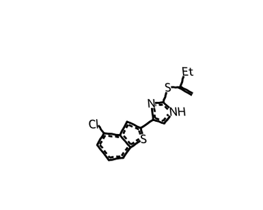 C=C(CC)Sc1nc(-c2cc3c(Cl)cccc3s2)c[nH]1